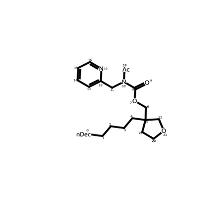 CCCCCCCCCCCCCCC1(COC(=O)N(Cc2ccccn2)C(C)=O)CCOC1